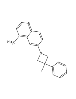 O=C(O)c1ccnc2ccc(N3CC(F)(c4ccccc4)C3)cc12